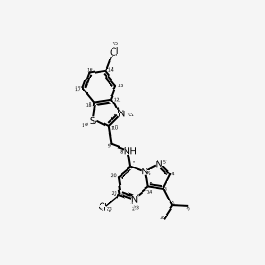 CC(C)c1cnn2c(NCc3nc4cc(Cl)ccc4s3)cc(Cl)nc12